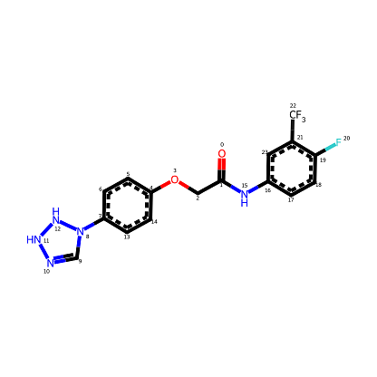 O=C(COc1ccc(N2C=NNN2)cc1)Nc1ccc(F)c(C(F)(F)F)c1